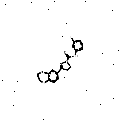 O=C(Nc1cccc(F)c1)N1CCC(c2ccc3c(c2)OCCO3)=N1